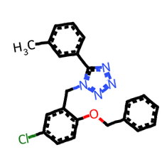 Cc1cccc(-c2nnnn2Cc2cc(Cl)ccc2OCc2ccccc2)c1